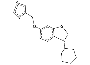 c1nc(COc2ccc3c(c2)SCN3C2CCCCC2)cs1